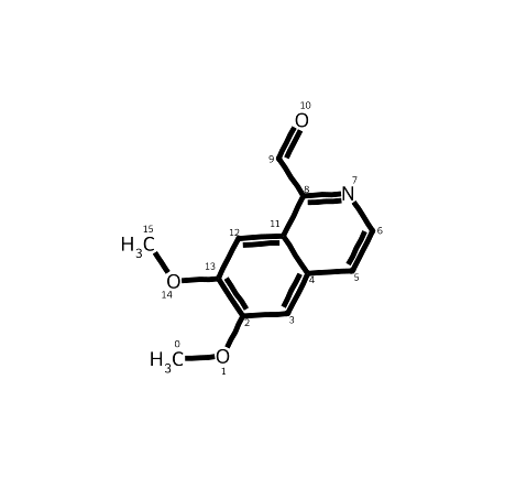 COc1cc2ccnc(C=O)c2cc1OC